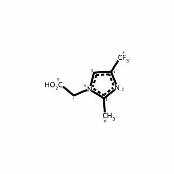 Cc1nc(C(F)(F)F)cn1CC(=O)O